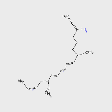 C=C=C(N)CCCC(C)C=C/C=C/C=C/C(C=C)C/C=C\CCC